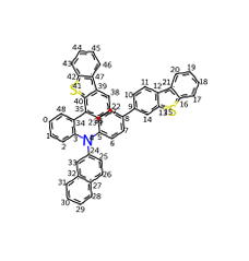 c1ccc(N(c2ccc(-c3ccc4c(c3)sc3ccccc34)cc2)c2ccc3ccccc3c2)c(-c2cccc3c2sc2ccccc23)c1